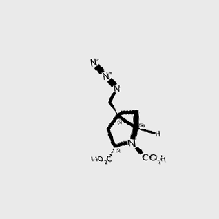 [N-]=[N+]=NC[C@@]12C[C@@H]1N(C(=O)O)[C@H](C(=O)O)C2